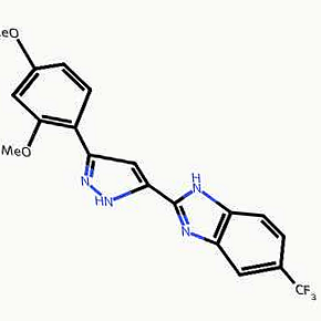 COc1ccc(-c2cc(-c3nc4cc(C(F)(F)F)ccc4[nH]3)[nH]n2)c(OC)c1